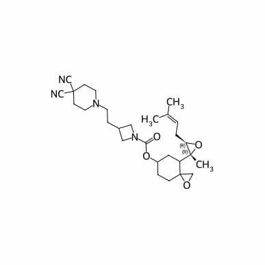 CC(C)=CC[C@H]1O[C@]1(C)C1CC(OC(=O)N2CC(CCN3CCC(C#N)(C#N)CC3)C2)CCC12CO2